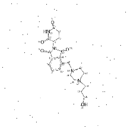 O=C1CCC(N2C(=O)c3cccc(CN4CCN(CCCO)CC4)c3C2=O)C(=O)N1